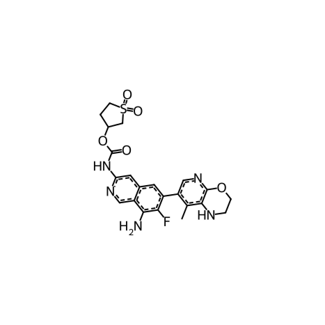 Cc1c(-c2cc3cc(NC(=O)OC4CCS(=O)(=O)C4)ncc3c(N)c2F)cnc2c1NCCO2